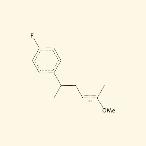 CO/C(C)=C/CC(C)c1ccc(F)cc1